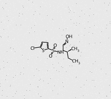 CC[C@H](C)[C@@H](/C=N/O)NS(=O)(=O)c1ccc(Cl)s1